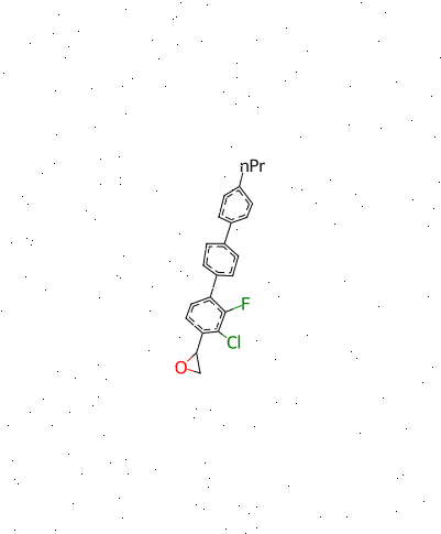 CCCc1ccc(-c2ccc(-c3ccc(C4CO4)c(Cl)c3F)cc2)cc1